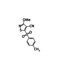 COc1nsc(S(=O)(=O)c2ccc(C)cc2)c1C#N